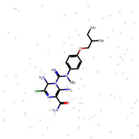 CCCCN(C(=N)N1C(N)=C(C(N)=O)N=C(Cl)C1N)c1ccc(OCC(COC(C)=O)OC(C)=O)cc1